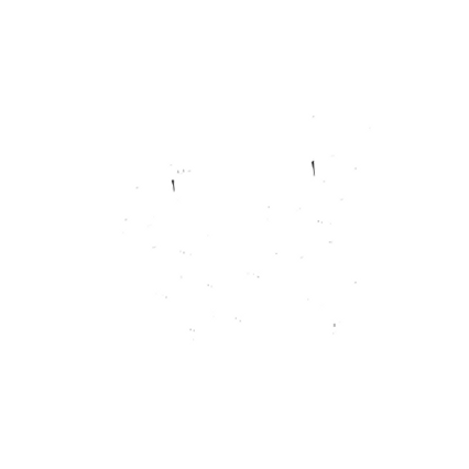 CO[C@H]1CCN(c2ncnc(Nc3cc4c(C(C)C)ccc(N5C[C@H](CS(C)(=O)=O)[C@H]5C)c4cn3)n2)C[C@@]1(C)F